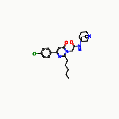 CCCCCc1nc(-c2ccc(Cl)cc2)cc(=O)n1CC(=O)NC1CN2CCC1CC2